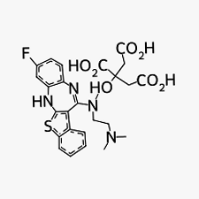 CN(C)CCN(C)C1=Nc2ccc(F)cc2Nc2sc3ccccc3c21.O=C(O)CC(O)(CC(=O)O)C(=O)O